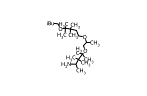 CCC(C)COC(C)(C)C(C)(C)CCOC(C)COC(C)(C)C(C)(C)C(C)N